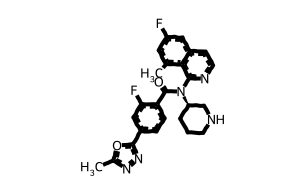 Cc1nnc(-c2ccc(C(=O)N(c3nccc4cc(F)cc(C)c34)[C@@H]3CCCNC3)c(F)c2)o1